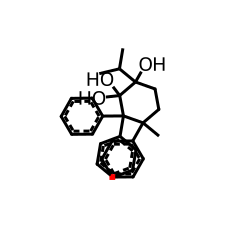 CC(C)C1(O)CCC(C)(c2ccccc2)C(c2ccccc2)(c2ccccc2)C1(O)O